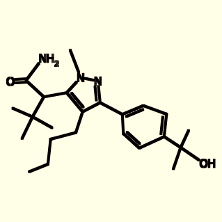 CCCCc1c(-c2ccc(C(C)(C)O)cc2)nn(C)c1C(C(N)=O)C(C)(C)C